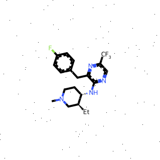 CC[C@H]1CN(C)CC[C@@H]1Nc1ncc(C(F)(F)F)nc1Cc1ccc(F)cc1